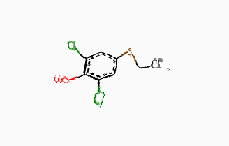 Oc1c(Cl)cc(SCC(F)(F)F)cc1Cl